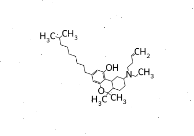 C=CCCN(CC)C1CCC2C(C1)c1c(O)cc(CCCCCCCC(C)C)cc1OC2(C)C